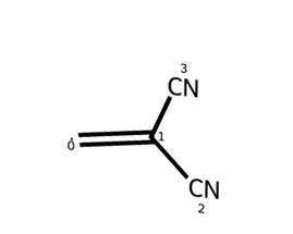 [CH]=C(C#N)C#N